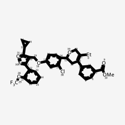 CCC1=C(c2cccc(C(=O)OC)c2)CC(c2ccc(OCc3c(-c4ccccc4OC(F)(F)F)noc3C3CC3)cc2Cl)OC1